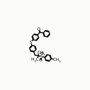 Cc1ccc(S(=O)(=O)C(C)(C)Cc2ccc(Sc3ccc(C(=O)c4ccccc4)cc3)cc2)cc1